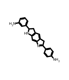 Nc1ccc(C2=Nc3cc4c(cc3C2)CC(c2cccc(N)c2)N4)cc1